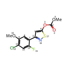 COC(=O)Oc1cc(-c2cc(OC)c(Cl)cc2F)ns1